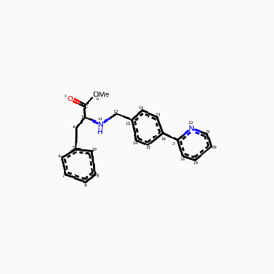 COC(=O)C(Cc1ccccc1)NCc1ccc(-c2ccccn2)cc1